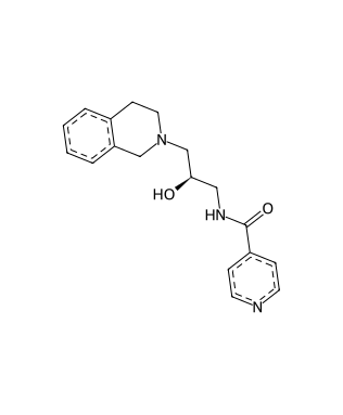 O=C(NC[C@@H](O)CN1CCc2ccccc2C1)c1ccncc1